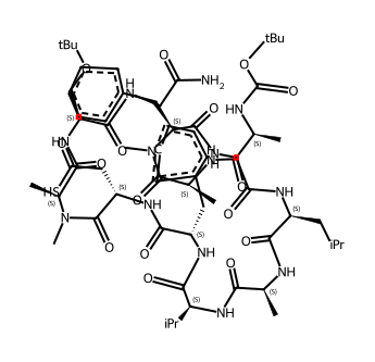 CC(C)C[C@H](NC(=O)CNC(=O)[C@H](Cc1ccccc1)N(C)C(=O)[C@H](C)NC(=O)[C@H](C)NC(=O)OC(C)(C)C)C(=O)N[C@@H](C)C(=O)N[C@H](C(=O)N[C@@H](Cc1ccccc1)C(=O)N[C@@H](CC(=O)S)C(=O)N(C)[C@@H](C)C(=O)N[C@@H](COC(C)(C)C)C(=O)NCC(N)=O)C(C)C